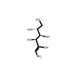 N/C=C(\O)[C@@H](O)[C@H](O)[C@H](O)CO